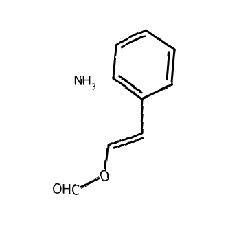 N.O=COC=Cc1ccccc1